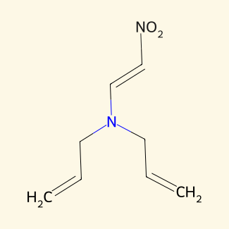 C=CCN(C=C[N+](=O)[O-])CC=C